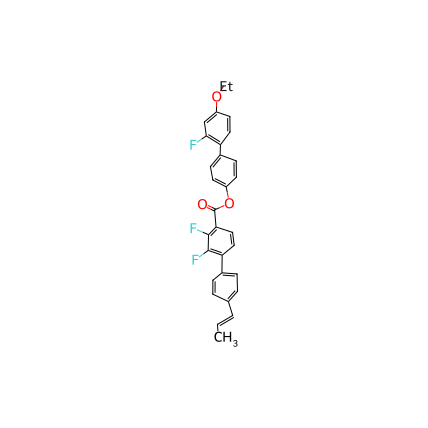 C/C=C/c1ccc(-c2ccc(C(=O)Oc3ccc(-c4ccc(OCC)cc4F)cc3)c(F)c2F)cc1